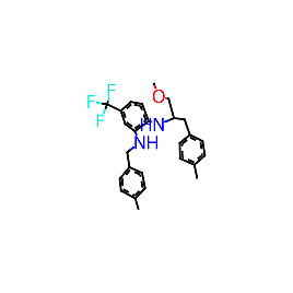 COCC(Cc1ccc(C)cc1)Nc1ccc(C(F)(F)F)cc1NCc1ccc(C)cc1